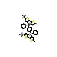 Cc1cc2c(s1)-c1sc([Si](C)(C)C)cc1[Si]2(c1ccccc1)c1ccc([Si]2(c3ccccc3)c3cc(C)sc3-c3sc([Si](C)(C)C)cc32)cc1